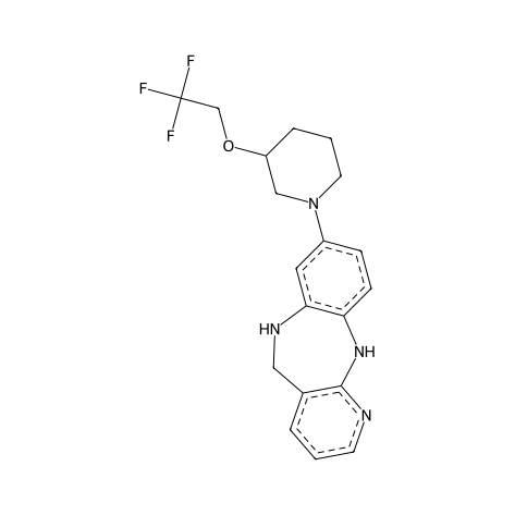 FC(F)(F)COC1CCCN(c2ccc3c(c2)NCc2cccnc2N3)C1